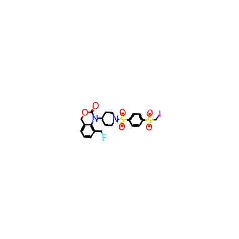 O=C1OCc2cccc(CF)c2N1C1CCN(S(=O)(=O)c2ccc(S(=O)(=O)CI)cc2)CC1